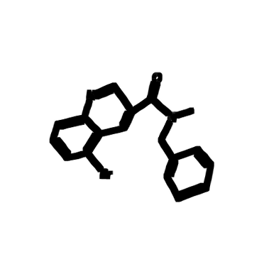 CN(Cc1ccccc1)C(=O)c1cnc2cccc(Br)c2c1